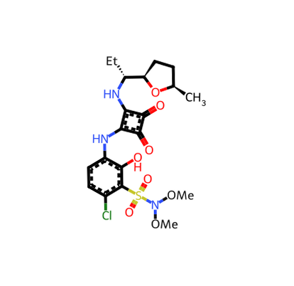 CC[C@@H](Nc1c(Nc2ccc(Cl)c(S(=O)(=O)N(OC)OC)c2O)c(=O)c1=O)[C@H]1CC[C@@H](C)O1